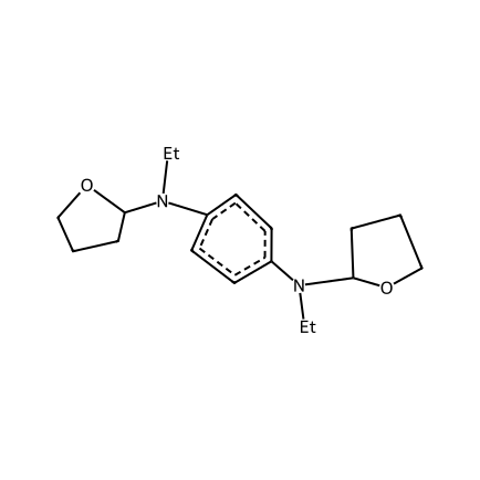 CCN(c1ccc(N(CC)C2CCCO2)cc1)C1CCCO1